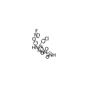 O=C(NC1CCNC1=O)c1cn(Cc2ccc(Cl)cc2)c(Nc2ccc(Oc3cccc(F)n3)cc2)nc1=O